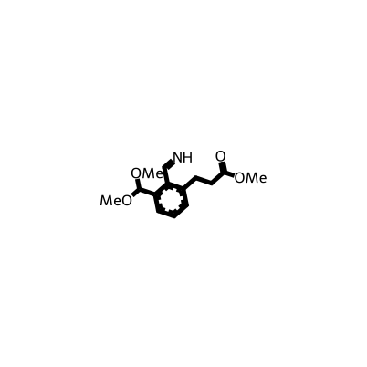 COC(=O)CCc1cccc(C(OC)OC)c1C=N